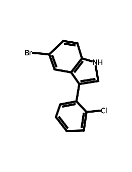 Clc1ccccc1-c1c[nH]c2ccc(Br)cc12